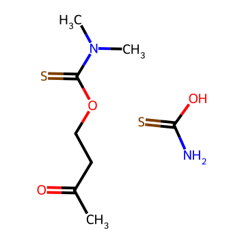 CC(=O)CCOC(=S)N(C)C.NC(O)=S